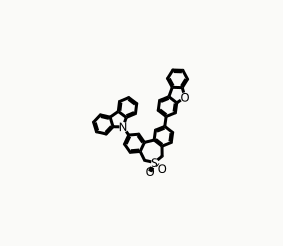 O=S1(=O)Cc2ccc(-c3ccc4c(c3)oc3ccccc34)cc2-c2cc(-n3c4ccccc4c4ccccc43)ccc2C1